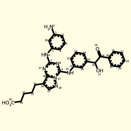 Nc1cccc(Nc2nc(Nc3cccc(C(O)C(=O)c4ccccc4)c3)n3ncc(CCCCC(=O)O)c3n2)c1